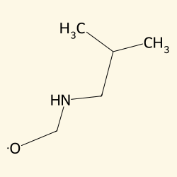 CC(C)CNC[O]